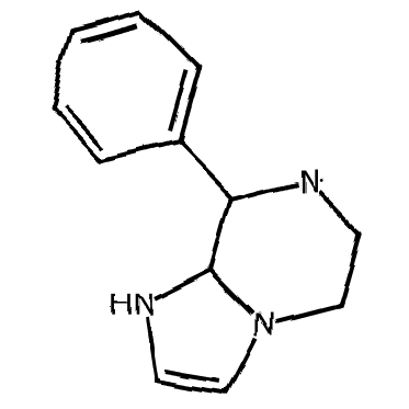 C1=CN2CC[N]C(c3ccccc3)C2N1